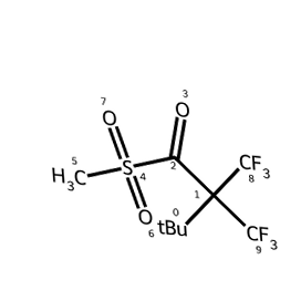 CC(C)(C)C(C(=O)S(C)(=O)=O)(C(F)(F)F)C(F)(F)F